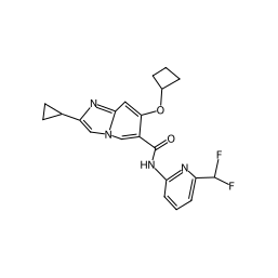 O=C(Nc1cccc(C(F)F)n1)c1cn2cc(C3CC3)nc2cc1OC1CCC1